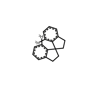 [2H]c1cccc2c1C1(CC2)CCc2cccc([2H])c21